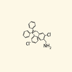 NCc1ccc(C[P+](c2ccccc2)(c2ccccc2)c2ccccc2)cc1Cl.[Cl-]